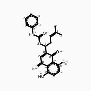 CC(C)=CCC(OC(=O)Nc1ccccc1)C1=CC(=O)c2c(O)ccc(O)c2C1=O